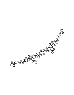 C=CC(=O)OCCCCOc1ccc(C(=O)Oc2ccc(OC(=O)C3CCC(C(=O)Oc4ccc(OC(=O)c5ccc(OCCCCOC(=O)C=C)cc5)c(C(=O)OC)c4)CC3)cc2C(=O)OC)cc1